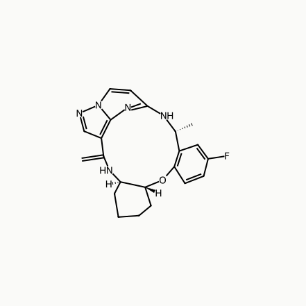 C=C1N[C@@H]2CCCC[C@H]2Oc2ccc(F)cc2[C@@H](C)Nc2ccn3ncc1c3n2